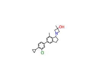 Cc1cc(-c2ccc(C3CC3)c(Cl)c2)cc2c1C(N1CC(C)(O)C1)CC2